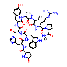 CCNC(=O)[C@@H]1CCCN1C(=O)[C@H](CCCN=C(N)N)NC(=O)[C@H](CC(C)C)NC(=O)[C@H](NC(=O)[C@H](Cc1ccc(O)cc1)NC(=O)[C@H](CO)NC(=O)[C@H](Cc1c[nH]c2ccccc12)NC(=O)[C@H](Cc1cnc[nH]1)NC(=O)[C@@H]1CCC(=O)N1)C(C)(C)C